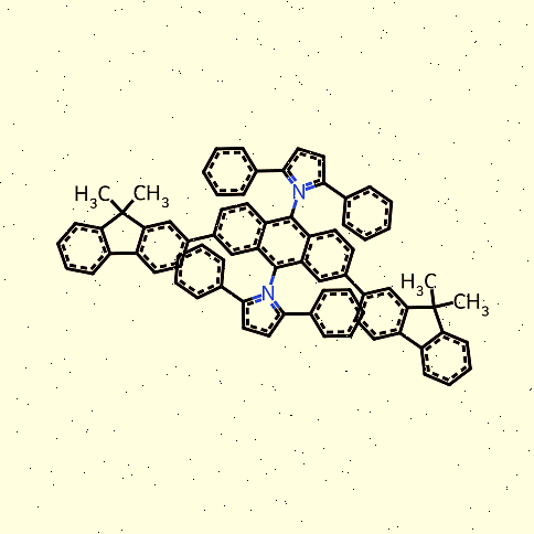 CC1(C)c2ccccc2-c2ccc(-c3ccc4c(-n5c(-c6ccccc6)ccc5-c5ccccc5)c5ccc(-c6ccc7c(c6)C(C)(C)c6ccccc6-7)cc5c(-n5c(-c6ccccc6)ccc5-c5ccccc5)c4c3)cc21